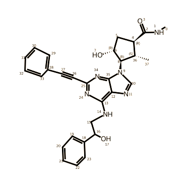 CNC(=O)[C@@H]1C[C@@H](O)[C@H](n2cnc3c(NCC(O)c4ccccc4)nc(C#Cc4ccccc4)nc32)[C@H]1C